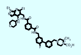 CCc1nc2c(cnn2CC)c(NC2CCOCC2)c1CNC(=O)c1cccc(C(=O)NCc2ccc(F)c(-c3cccc(CN4CCN(C(=O)O)[C@@H](C)C4)c3)c2)c1